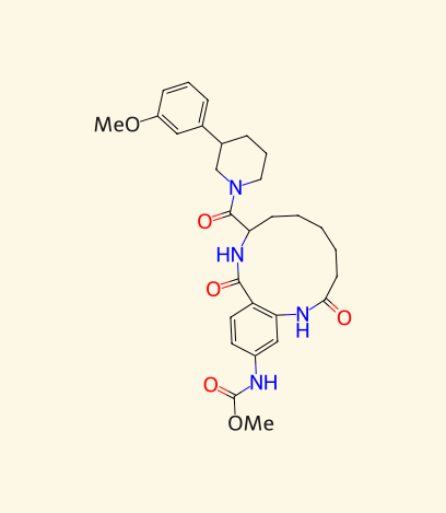 COC(=O)Nc1ccc2c(c1)NC(=O)CCCCCC(C(=O)N1CCCC(c3cccc(OC)c3)C1)NC2=O